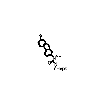 CCCCCCCNC(=O)N(S)c1ccc2c(c1)Cc1cc(Br)ccc1-2